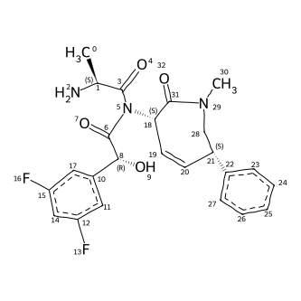 C[C@H](N)C(=O)N(C(=O)[C@H](O)c1cc(F)cc(F)c1)[C@H]1C=C[C@@H](c2ccccc2)CN(C)C1=O